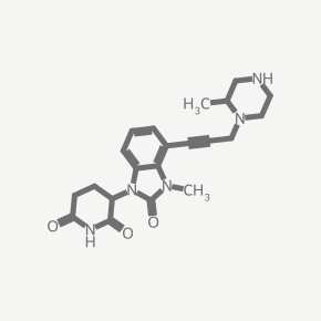 CC1CNCCN1CC#Cc1cccc2c1n(C)c(=O)n2C1CCC(=O)NC1=O